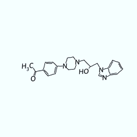 CC(=O)c1ccc(N2CCN(CC(O)Cn3cnc4ccccc43)CC2)cc1